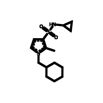 Cc1c(S(=O)(=O)NC2CC2)ccn1CC1CCCCC1